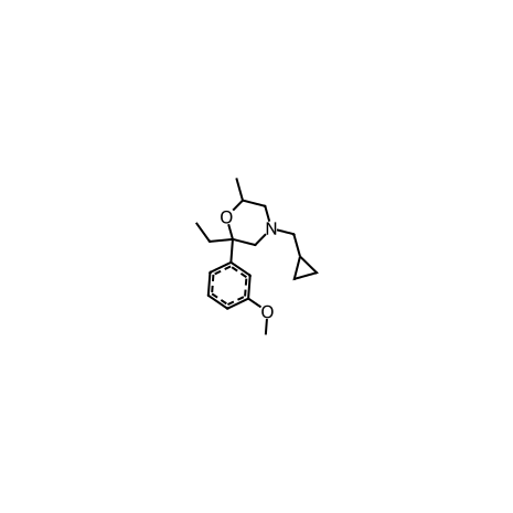 CCC1(c2cccc(OC)c2)CN(CC2CC2)CC(C)O1